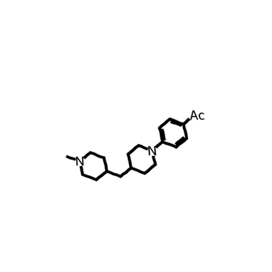 CC(=O)c1ccc(N2CCC(CC3CCN(C)CC3)CC2)cc1